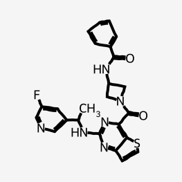 CC(Nc1nc(C(=O)N2CC(NC(=O)c3ccccc3)C2)c2sccc2n1)c1cncc(F)c1